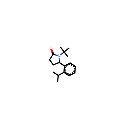 CC(C)c1ccccc1C1CCC(=O)N1C(C)(C)C